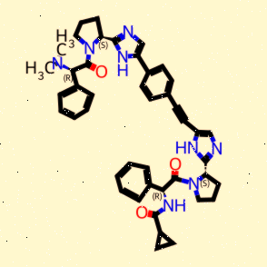 CN(C)[C@@H](C(=O)N1CCC[C@H]1c1ncc(-c2ccc(C#Cc3cnc([C@@H]4CCCN4C(=O)[C@H](NC(=O)C4CC4)c4ccccc4)[nH]3)cc2)[nH]1)c1ccccc1